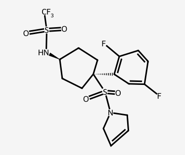 O=S(=O)(N[C@H]1CC[C@@](c2cc(F)ccc2F)(S(=O)(=O)N2CC=CC2)CC1)C(F)(F)F